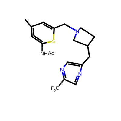 CC(=O)NC1=C=C(C)C=C(CN2CCC(Cc3cnc(C(F)(F)F)cn3)C2)S1